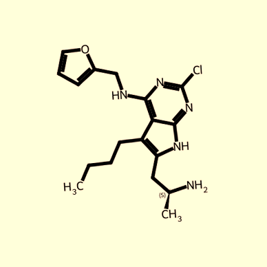 CCCCc1c(C[C@H](C)N)[nH]c2nc(Cl)nc(NCc3ccco3)c12